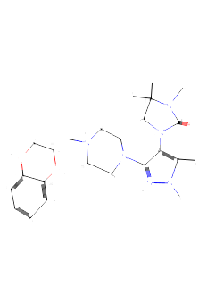 Cc1c(N2CC(C)(C)N(C)C2=O)c(N2CCN(C[C@H]3COc4ccccc4O3)CC2)nn1C